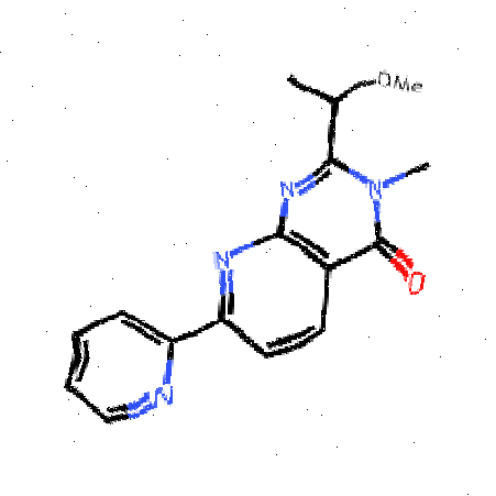 COC(C)c1nc2nc(-c3ccccn3)ccc2c(=O)n1C